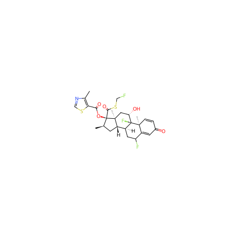 Cc1ncsc1C(=O)O[C@]1(C(=O)SCF)[C@H](C)C[C@H]2[C@@H]3CC(F)C4=CC(=O)C=C[C@]4(C)[C@@]3(F)[C@@H](O)C[C@@]21C